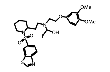 COc1ccc(OCCN(CCC2CCCCN2S(=O)(=O)c2ccc3ncsc3c2)C(O)I)cc1OC